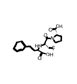 O=C(O)C(CCc1ccccc1)N[C@@H](CF)C(=O)N1CCC[C@H]1C(=O)O